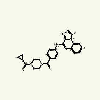 O=C(c1ccc(Nc2nc3ccccc3n3nnnc23)cc1)N1CCN(C(=O)C2CC2)CC1